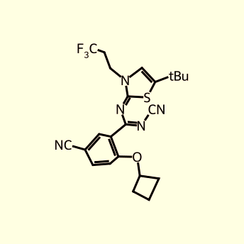 CC(C)(C)c1cn(CCC(F)(F)F)/c(=N/C(=NC#N)c2cc(C#N)ccc2OC2CCC2)s1